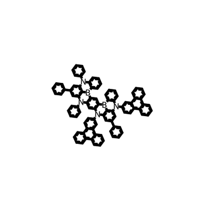 c1ccc(-c2cc3c4c(c2)N(c2ccccc2)c2cc5c(cc2B4c2ccccc2N3c2ccccc2)B2c3ccccc3N(c3ccc4c6ccccc6c6ccccc6c4c3)c3cc(-c4ccccc4)cc(c32)N5c2ccc3c4ccccc4c4ccccc4c3c2)cc1